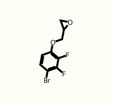 Fc1c(Br)ccc(OCC2CO2)c1F